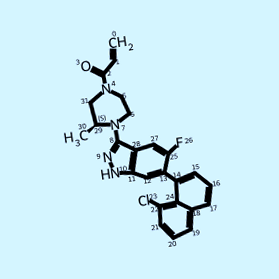 C=CC(=O)N1CCN(c2n[nH]c3cc(-c4cccc5cccc(Cl)c45)c(F)cc23)[C@@H](C)C1